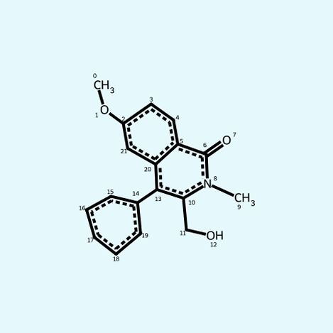 COc1ccc2c(=O)n(C)c(CO)c(-c3ccccc3)c2c1